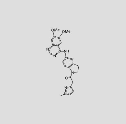 COc1cc2ncnc(Nc3ccc4c(c3)CCN4C(=O)Cc3ccn(C)n3)c2cc1OC